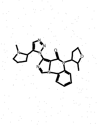 CC1OCCC1n1c(=O)c2c(-n3nncc3C3CCCN3C)ncn2c2ccccc21